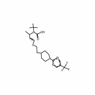 CC(/C=N/OCCC1CCN(c2ncc(C(F)(F)F)cn2)CC1)N(C(=O)O)C(C)(C)C